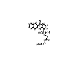 COCCN(C)CCNC(O)c1cccn2c(=O)c3cc4ccccc4cc3nc12